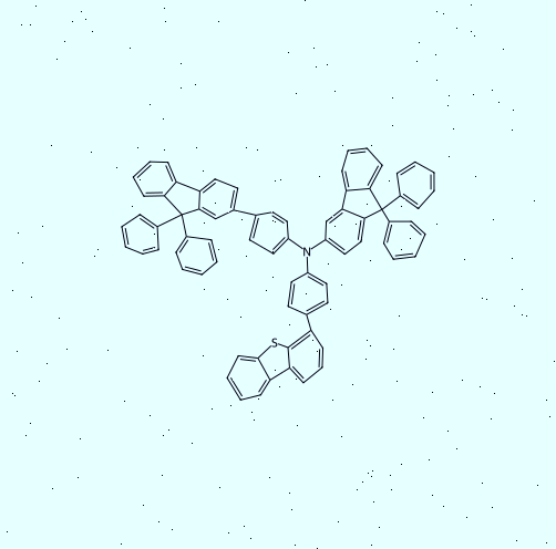 c1ccc(C2(c3ccccc3)c3ccccc3-c3cc(N(c4ccc(-c5ccc6c(c5)C(c5ccccc5)(c5ccccc5)c5ccccc5-6)cc4)c4ccc(-c5cccc6c5sc5ccccc56)cc4)ccc32)cc1